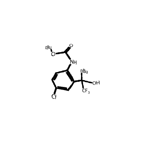 CCCCC(O)(c1cc(Cl)ccc1NC(=O)OC(C)(C)C)C(F)(F)F